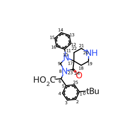 CC(C)(C)c1cccc(C(C(=O)O)N2CN(c3ccccc3)C3(CCNCC3)C2=O)c1